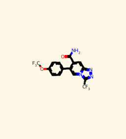 NC(=O)c1cc2nnc(C(F)(F)F)n2cc1-c1ccc(OC(F)(F)F)cc1